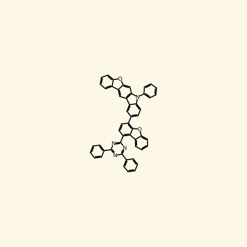 c1ccc(-c2nc(-c3ccccc3)nc(-c3ccc(-c4ccc5c(c4)c4cc6c(cc4n5-c4ccccc4)oc4ccccc46)c4oc5ccccc5c34)n2)cc1